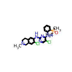 CN1CCc2cc(Nc3ncc(Cl)c(Nc4ccccc4P(C)(C)=O)n3)c(Cl)cc2C1